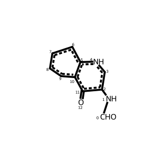 O=CNc1c[nH]c2ccccc2c1=O